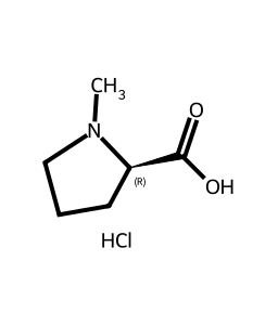 CN1CCC[C@@H]1C(=O)O.Cl